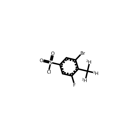 [2H]C([2H])([2H])c1c(F)cc(S(=O)(=O)Cl)cc1Br